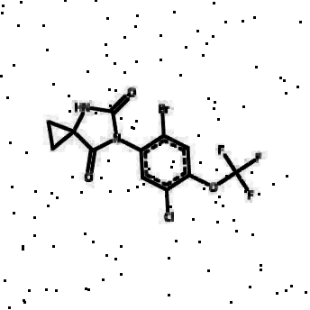 O=C1NC2(CC2)C(=O)N1c1cc(Cl)c(OC(F)(F)F)cc1Br